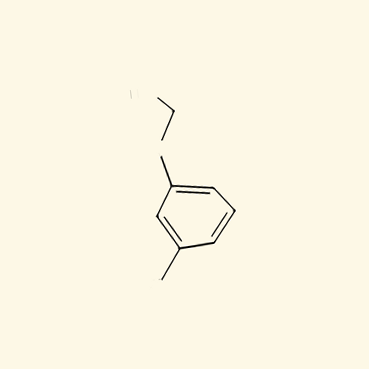 CCOc1cccc(Cl)c1